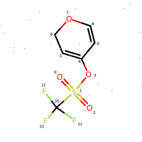 O=S(=O)(OC1=CCOC=C1)C(F)(F)F